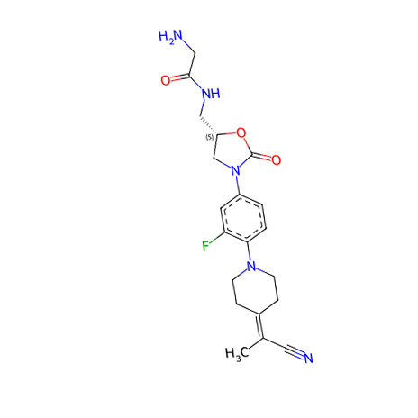 CC(C#N)=C1CCN(c2ccc(N3C[C@H](CNC(=O)CN)OC3=O)cc2F)CC1